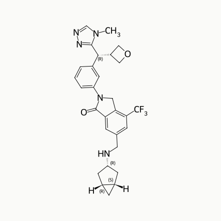 Cn1cnnc1[C@@H](c1cccc(N2Cc3c(cc(CN[C@@H]4C[C@@H]5C[C@@H]5C4)cc3C(F)(F)F)C2=O)c1)C1COC1